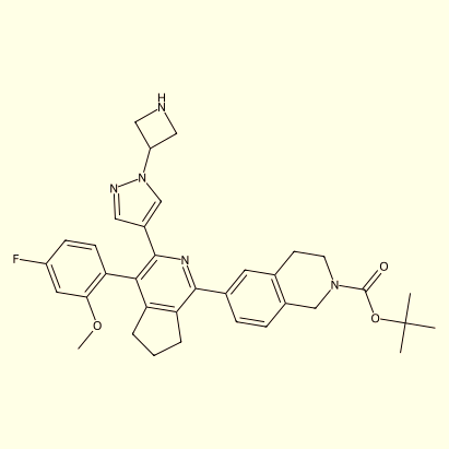 COc1cc(F)ccc1-c1c(-c2cnn(C3CNC3)c2)nc(-c2ccc3c(c2)CCN(C(=O)OC(C)(C)C)C3)c2c1CCC2